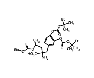 CCC(C)OC(=O)O[C@@H](C)CC(N)(Cc1ccc(OC(=O)OC(C)(C)CC)c(OC(=O)OC(C)(C)CC)c1)C(=O)O